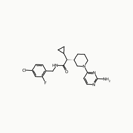 Nc1nccc(N2CCC[C@@H](C(C(=O)NCc3ccc(Cl)cc3F)C3CC3)C2)n1